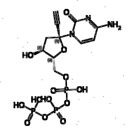 C#C[C@]1(n2ccc(N)nc2=O)C[C@H](O)[C@@H](COP(=O)(O)OP(=O)(O)OP(=O)(O)O)O1